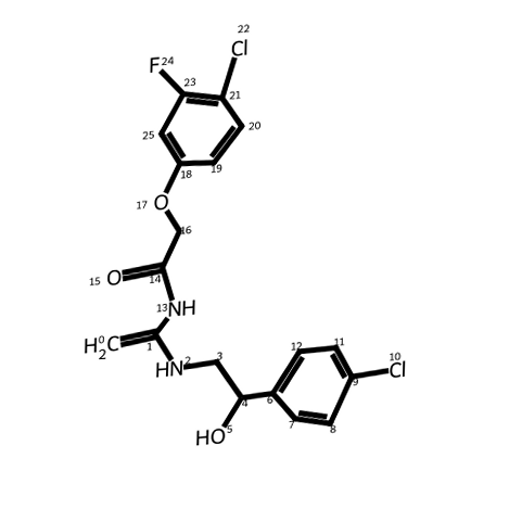 C=C(NCC(O)c1ccc(Cl)cc1)NC(=O)COc1ccc(Cl)c(F)c1